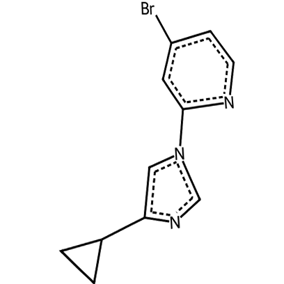 Brc1ccnc(-n2cnc(C3CC3)c2)c1